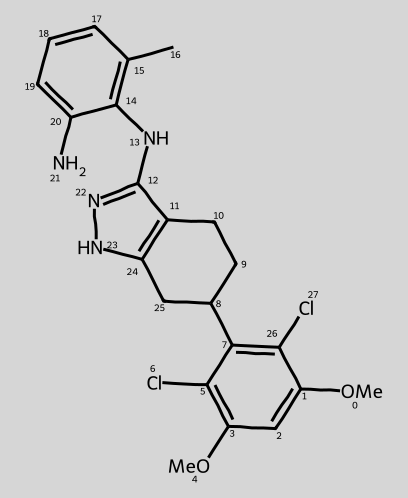 COc1cc(OC)c(Cl)c(C2CCc3c(Nc4c(C)cccc4N)n[nH]c3C2)c1Cl